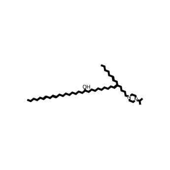 CCCCCC=CCC=CCCCCCCCCC(O)CCCCCCCCC=C(CC=CCCCCC)CCCCN1CCN(C(C)C)CC1